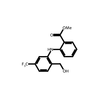 COC(=O)c1ccccc1Nc1cc(C(F)(F)F)ccc1CO